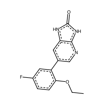 CCOc1ccc(F)cc1-c1cnc2[nH]c(=O)[nH]c2c1